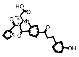 C[C@H](NN(C(=O)c1cccs1)C(=O)c1ccc(C(=O)CCc2cccc(O)c2)cc1Cl)C(=O)O